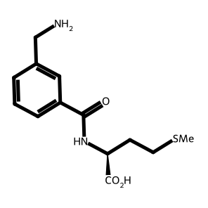 CSCC[C@H](NC(=O)c1cccc(CN)c1)C(=O)O